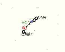 CCN(CCCCCCOC(=O)c1ccc(OC)c(OC)c1)C1CCc2cc(OC)ccc2C1.Cl